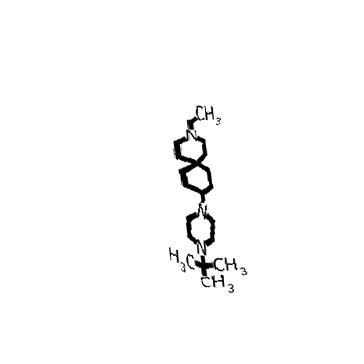 CCN1CCC2(CCC(N3CCN(C(C)(C)C)CC3)CC2)CC1